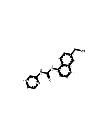 O=C(Nc1cnccn1)Nc1ccnc2cc(CO)ccc12